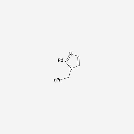 CCCCn1ccnc1.[Pd]